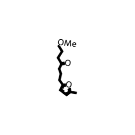 COCCCC(=O)CCCc1ccc(C)o1